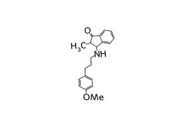 COc1ccc(CCCNC2c3ccccc3C(=O)C2C)cc1